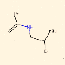 C=C(NCC(CC)CCCC)C(C)C